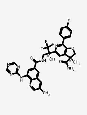 Cc1cnc2c(Nc3ncncn3)cc(C(=O)NC[C@](O)(c3cc4c(c(-c5ccc(F)cc5)n3)OC[C@]4(C)C(N)=O)C(F)(F)F)cc2c1